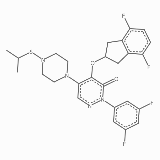 CC(C)SN1CCN(c2cnn(-c3cc(F)cc(F)c3)c(=O)c2OC2Cc3c(F)ccc(F)c3C2)CC1